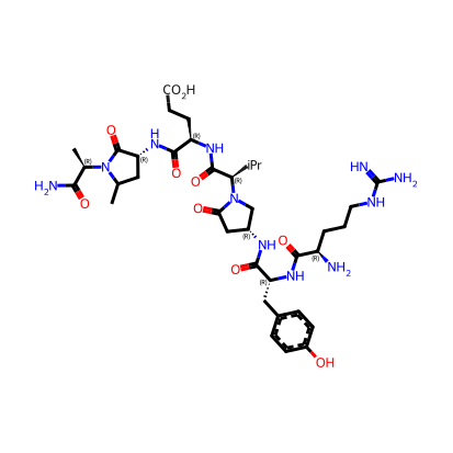 CC(C)[C@H](C(=O)N[C@H](CCC(=O)O)C(=O)N[C@@H]1CC(C)N([C@H](C)C(N)=O)C1=O)N1C[C@H](NC(=O)[C@@H](Cc2ccc(O)cc2)NC(=O)[C@H](N)CCCNC(=N)N)CC1=O